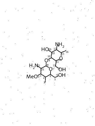 COC1C(C)C(CO)OC(OC2C(CO)OC(C)C(N)C2O)C1N